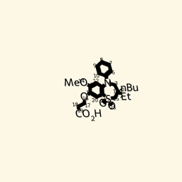 CCCC[C@@]1(CC)CN(c2ccccc2)c2cc(OC)c(OCCC(=O)O)cc2S(=O)(=O)C1